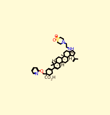 C=C(C)[C@@H]1CC[C@]2(NCCN3CCS(=O)(=O)CC3)CC[C@]3(C)[C@H](CC[C@@H]4[C@@]5(C)CC=C(C6=CC[C@](COc7ccccn7)(C(=O)O)CC6)C(C)(C)[C@@H]5CC[C@]43C)[C@@H]12